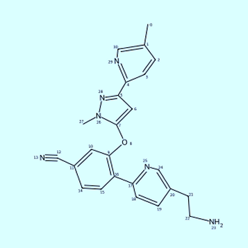 Cc1ccc(-c2cc(Oc3cc(C#N)ccc3-c3ccc(CCN)cn3)n(C)n2)nc1